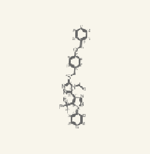 CCn1c(SCc2ccc(OCc3ccccc3)cc2)nnc1-c1cnn(-c2ccccc2)c1C(F)(F)F